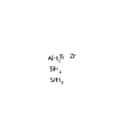 [AlH3].[SiH4].[SrH2].[Ti].[Zr]